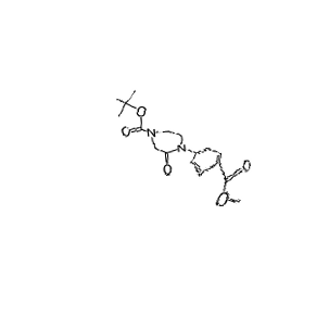 COC(=O)c1ccc(N2CCN(C(=O)OC(C)(C)C)CC2=O)cc1